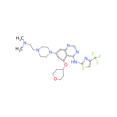 CN(C)CCN1CCN(c2cc(OC3CCOCC3)c3c(Nc4nc(C(F)(F)F)cs4)ncnc3c2)CC1